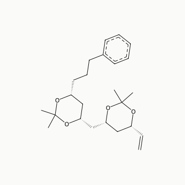 C=C[C@@H]1C[C@H](C[C@H]2C[C@@H](CCCc3ccccc3)OC(C)(C)O2)OC(C)(C)O1